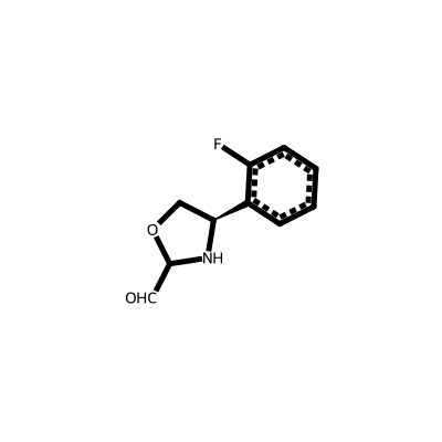 O=CC1N[C@H](c2ccccc2F)CO1